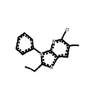 CCc1nc2cc(C)c(Cl)nc2n1-c1c[c]ccc1